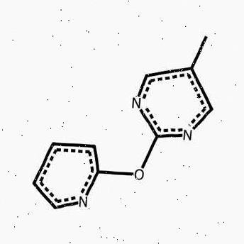 Cc1cnc(Oc2ccccn2)nc1